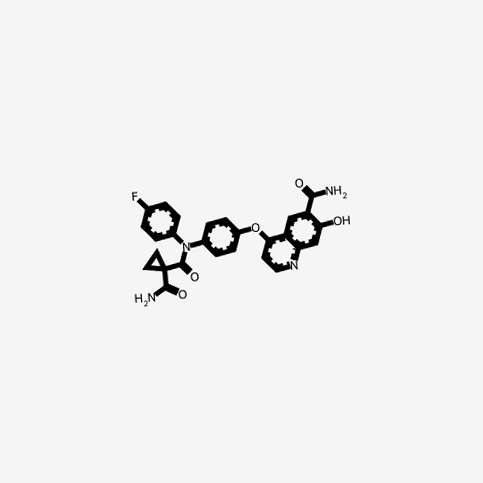 NC(=O)c1cc2c(Oc3ccc(N(C(=O)C4(C(N)=O)CC4)c4ccc(F)cc4)cc3)ccnc2cc1O